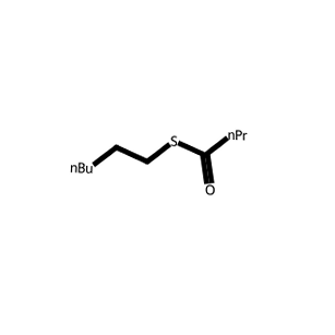 CCCCCCSC(=O)CCC